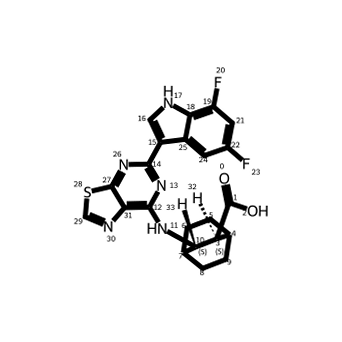 O=C(O)[C@H]1C2CCC(CC2)[C@@H]1Nc1nc(-c2c[nH]c3c(F)cc(F)cc23)nc2scnc12